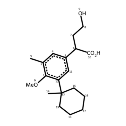 COc1c(C)cc(C(CCO)C(=O)O)cc1C1(C)CCCCC1